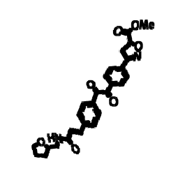 COC(=O)C1CC(c2ccc(C(=O)C(=O)c3ccc(C=CC(=O)NCC4CCCO4)cc3)cc2)=NO1